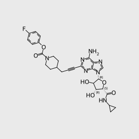 Nc1nc(C#CCC2CCN(C(=O)Oc3ccc(F)cc3)CC2)nc2c1ncn2[C@@H]1O[C@H](C(=O)NC2CC2)[C@H](O)C1O